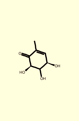 CC1=C[C@@H](O)C(O)[C@@H](O)C1=O